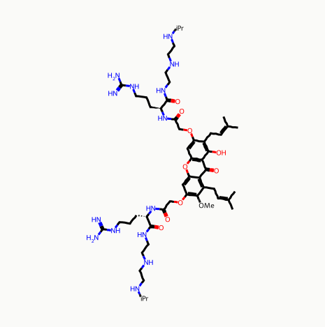 COc1c(OCC(=O)N[C@@H](CCCNC(=N)N)C(=O)NCCNCCNC(C)C)cc2oc3cc(OCC(=O)N[C@@H](CCCNC(=N)N)C(=O)NCCNCCNC(C)C)c(CC=C(C)C)c(O)c3c(=O)c2c1CC=C(C)C